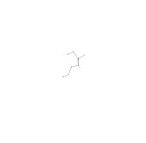 CC(CCl)C(Cl)[CH]CCl